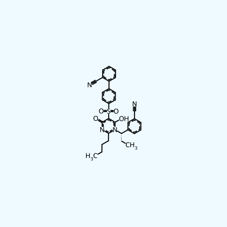 CCCCc1nc(=O)c(S(=O)(=O)c2ccc(-c3ccccc3C#N)cc2)c(O)n1[C@@H](CC)c1cccc(C#N)c1